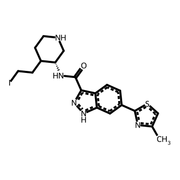 Cc1csc(-c2ccc3c(C(=O)N[C@H]4CNCCC4CCI)n[nH]c3c2)n1